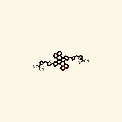 N#CC(C#N)=c1cc/c(=C/c2ccc(-c3ccc4c(-c5ccccc5)c5c(-c6ccccc6)c6cc(-c7ccc(/C=c8/ccc(=C(C#N)C#N)s8)s7)ccc6c(-c6ccccc6)c5c(-c5ccccc5)c4c3)s2)s1